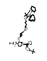 CC(C)(C)OC(=O)N1CC[C@@H](N)[C@@H](OCCOCCCCO[Si](c2ccccc2)(c2ccccc2)C(C)(C)C)C1